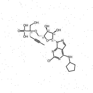 CC#CC[C@](CO)(OC[C@H]1O[C@@H](n2ncc3c(NC4CCCC4)nc(Cl)nc32)[C@H](O)[C@@H]1O)P(=O)(O)O